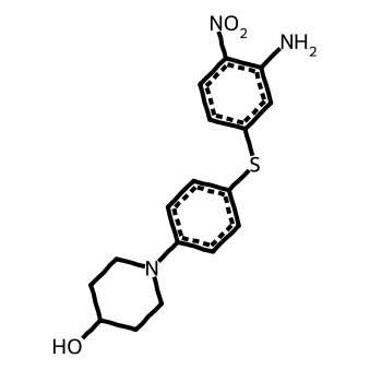 Nc1cc(Sc2ccc(N3CCC(O)CC3)cc2)ccc1[N+](=O)[O-]